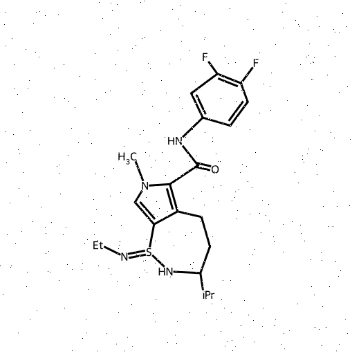 CC/N=S1/NC(C(C)C)CCc2c1cn(C)c2C(=O)Nc1ccc(F)c(F)c1